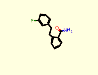 NC(=O)c1ccccc1CCc1cccc(F)c1